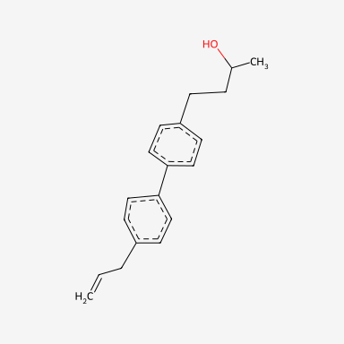 C=CCc1ccc(-c2ccc(CCC(C)O)cc2)cc1